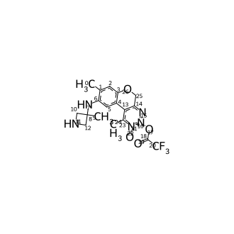 Cc1cc2c(cc1NC1(C)CNC1)-c1c(nn(OC(=O)C(F)(F)F)[n+](=O)c1C)CO2